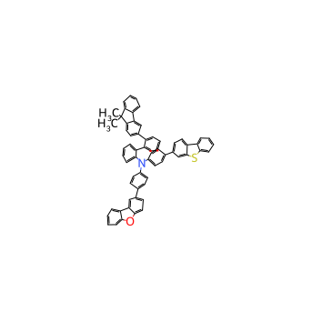 CC1(C)c2ccccc2-c2cc(-c3ccccc3-c3ccccc3N(c3ccc(-c4ccc5c(c4)sc4ccccc45)cc3)c3ccc(-c4ccc5oc6ccccc6c5c4)cc3)ccc21